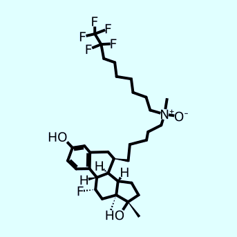 C[C@]1(O)CC[C@H]2[C@@H]3[C@H](CCCCC[N+](C)([O-])CCCCCCCC(F)(F)C(F)(F)F)Cc4cc(O)ccc4[C@H]3[C@@H](F)C[C@@]21C